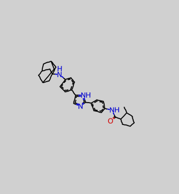 CC1CCCCC1C(=O)Nc1ccc(-c2ncc(-c3ccc(NC45CC6CC(CC(C6)C4)C5)cc3)[nH]2)cc1